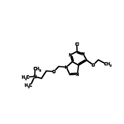 CCOc1nc(Cl)nc2c1ncn2COCC[Si](C)(C)C